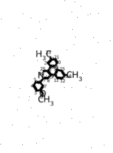 COc1cccc(-c2[c]c(-c3ccc(C)cc3)c(-c3cccc(C)c3)cn2)c1